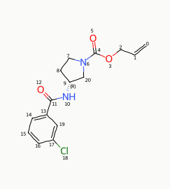 C=CCOC(=O)N1CC[C@@H](NC(=O)c2cccc(Cl)c2)C1